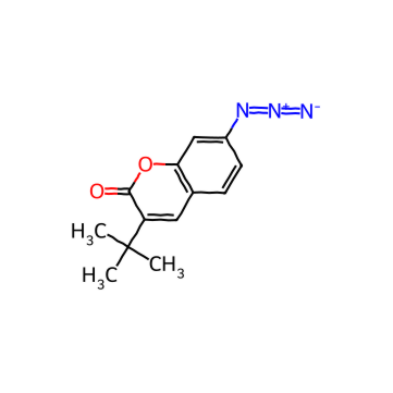 CC(C)(C)c1cc2ccc(N=[N+]=[N-])cc2oc1=O